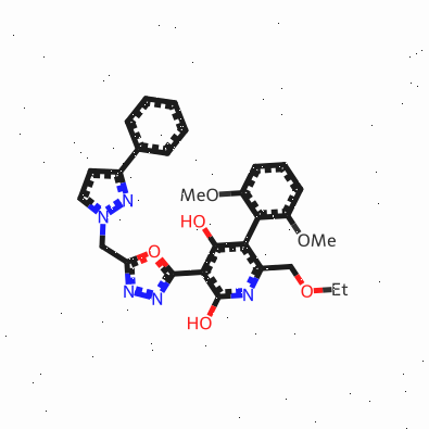 CCOCc1nc(O)c(-c2nnc(Cn3ccc(-c4ccccc4)n3)o2)c(O)c1-c1c(OC)cccc1OC